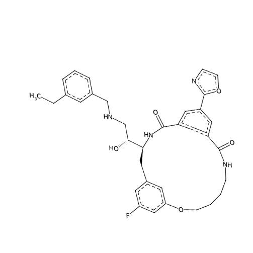 CCc1cccc(CNC[C@@H](O)[C@@H]2Cc3cc(F)cc(c3)OCCCCNC(=O)c3cc(cc(-c4ncco4)c3)C(=O)N2)c1